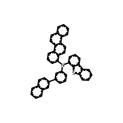 c1cc(-c2ccc3ccccc3c2)cc(N(c2cccc3c2ccc2c4ccccc4ccc32)c2cccc3c2sc2ccccc23)c1